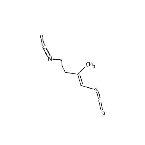 C/C(=C\N=C=O)CCN=C=O